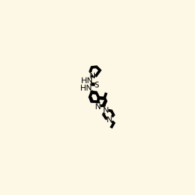 CCN1CCN(c2cc(C)c3cc(NC(=S)NN4CCCCC4)ccc3n2)CC1